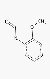 COc1ccccc1[N]C=O